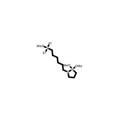 CC[Si](CC)(CCCCCCN1CCC[Si]1(OC)OC)OC